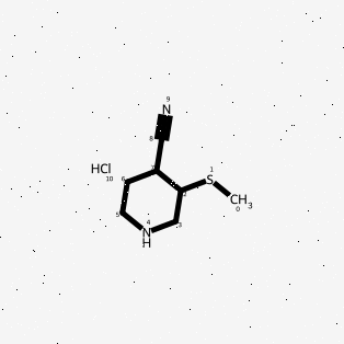 CSC1CNCCC1C#N.Cl